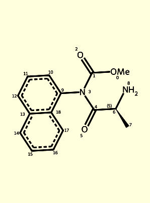 COC(=O)N(C(=O)[C@H](C)N)c1cccc2ccccc12